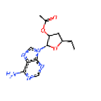 CC[C@@H]1CC(OC(C)=O)[C@H](n2cnc3c(N)ncnc32)O1